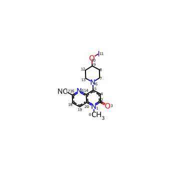 Cn1c(=O)cc(N2CCC(OI)CC2)c2nc(C#N)ccc21